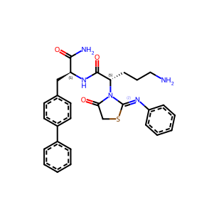 NCCC[C@@H](C(=O)N[C@@H](Cc1ccc(-c2ccccc2)cc1)C(N)=O)N1C(=O)CS/C1=N\c1ccccc1